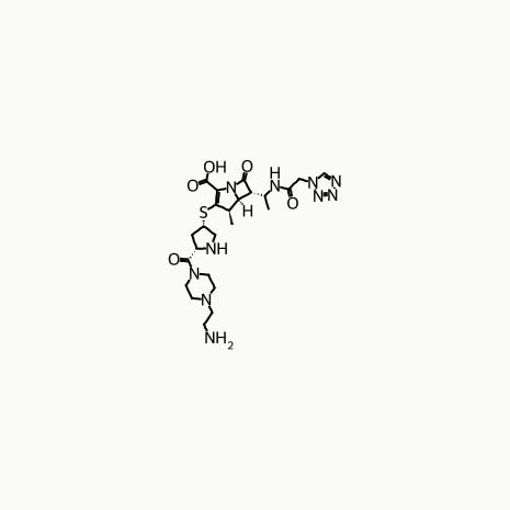 CC(NC(=O)Cn1cnnn1)[C@H]1C(=O)N2C(C(=O)O)=C(S[C@@H]3CN[C@H](C(=O)N4CCN(CCN)CC4)C3)[C@H](C)[C@H]12